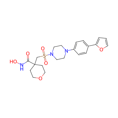 O=C(NO)C1(CS(=O)(=O)N2CCN(c3ccc(-c4ccco4)cc3)CC2)CCOCC1